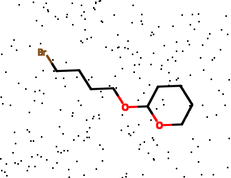 Br[CH]CCCOC1CCCCO1